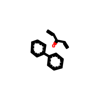 C=CC(=O)C=C.c1ccc(-c2ccccc2)cc1